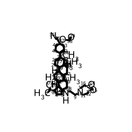 C=C(C)[C@@H]1CC[C@]2(NCCN3CCS(=O)(=O)CC3)CC[C@]3(C)[C@H](CC[C@@H]4[C@@]5(C)CC=C(C6=CCC(C#N)(OC=O)CC6)C(C)(C)[C@@H]5CC[C@]43C)[C@@H]12